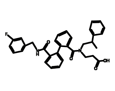 CC(CN(CCC(=O)O)C(=O)c1ccccc1-c1ccccc1C(=O)NCc1cccc(F)c1)c1ccccc1